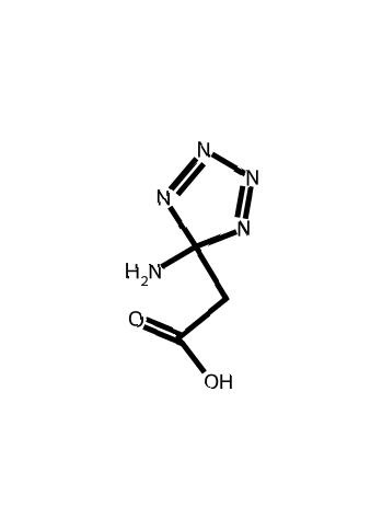 NC1(CC(=O)O)N=NN=N1